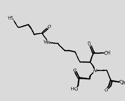 O=C(O)CN(CC(=O)O)C(CCCCNC(=O)CCCS)C(=O)O